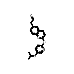 CC(C)Oc1ccc(Oc2ccc3cc(CC=O)ccc3n2)nc1